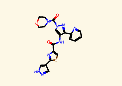 O=C(Nc1cn(C(=O)N2CCOCC2)nc1-c1ccccn1)c1csc(-c2cn[nH]c2)n1